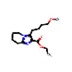 CCOC(=O)c1nc2n(c1CCCCOC)CCCC2